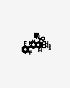 CC1(C)[C@H]2CC[C@]1(C(=O)N1CCC1)c1nnc(-c3c(F)cccc3F)cc12